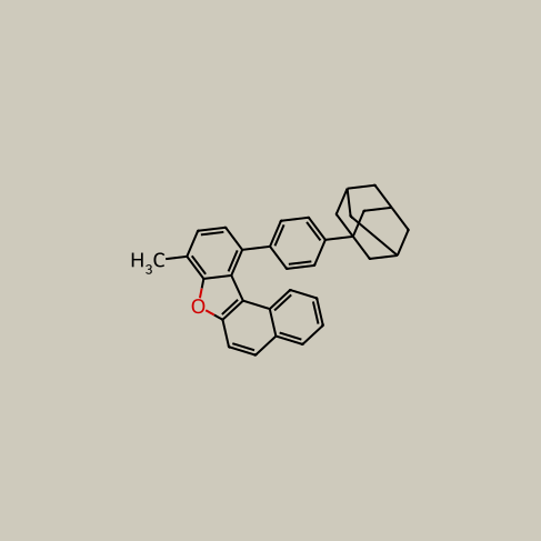 Cc1ccc(-c2ccc(C34CC5CC(CC(C5)C3)C4)cc2)c2c1oc1ccc3ccccc3c12